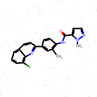 Cc1cc(-c2ccc3cccc(F)c3n2)ccc1NC(=O)c1ccnn1C